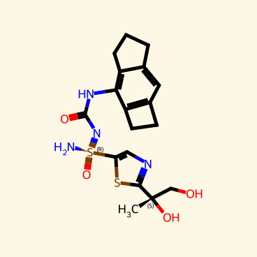 C[C@](O)(CO)c1ncc([S@](N)(=O)=NC(=O)Nc2c3c(cc4c2CC4)CCC3)s1